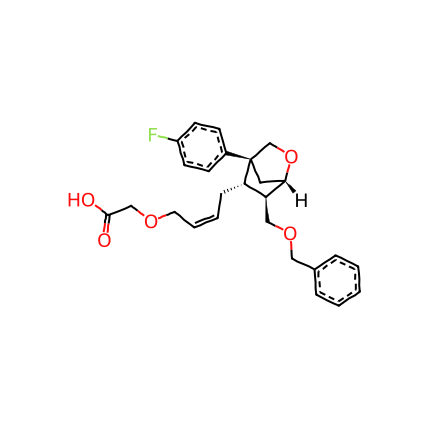 O=C(O)COC/C=C\C[C@H]1[C@H](COCc2ccccc2)[C@@H]2C[C@@]1(c1ccc(F)cc1)CO2